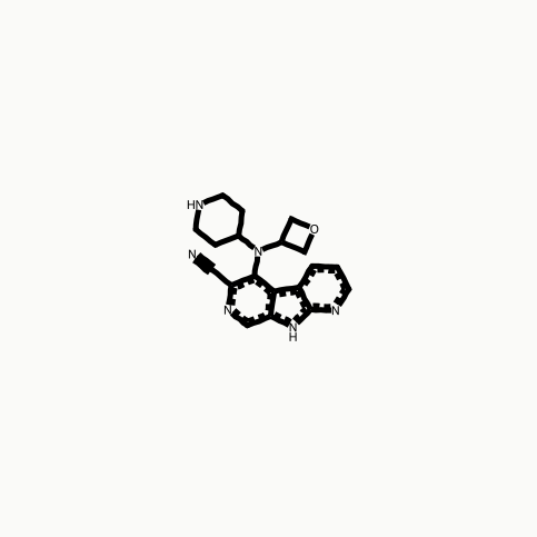 N#Cc1ncc2[nH]c3ncccc3c2c1N(C1CCNCC1)C1COC1